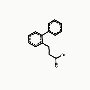 O=[PH](O)CCc1ccccc1-c1ccccc1